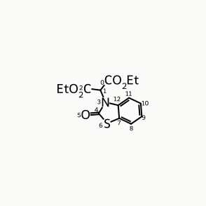 CCOC(=O)C(C(=O)OCC)n1c(=O)sc2ccccc21